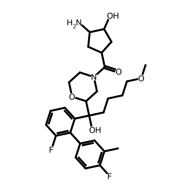 COCCCCC(O)(c1cccc(F)c1-c1ccc(F)c(C)c1)C1CN(C(=O)C2CC(N)C(O)C2)CCO1